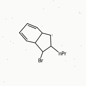 CCCC1[C]C2C=CC=CC2C1Br